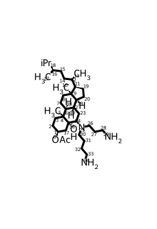 CC(=O)O[C@H]1CC[C@]2(C)[C@H]3CC[C@]4(C)[C@@H]([C@H](C)CC[C@@H](C)C(C)C)CC[C@H]4[C@@H]3C[C@@H](N(CCCN)CCCCN)[C@@]2(O)C1